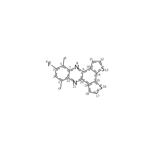 Cc1cc(F)c(C)c2nc3c4ccsc4c4sccc4c3nc12